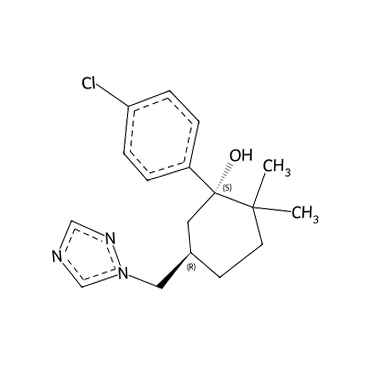 CC1(C)CC[C@@H](Cn2cncn2)C[C@@]1(O)c1ccc(Cl)cc1